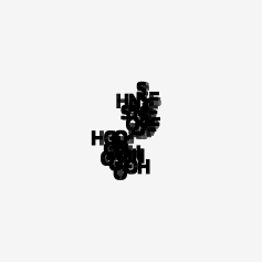 O=P(O)(O)OP(=O)(O)OP(=O)(O)OC[C@@H]1C[C@](F)(C(F)(F)F)[C@H](n2cc(F)c(=S)[nH]c2=S)O1